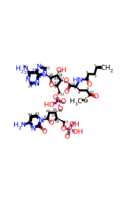 C=CCCC(=O)N[C@@H](CCC(=O)SC)C(=O)O[C@H]1[C@@H](O)[C@H](n2cnc3c(N)ncnc32)O[C@@H]1COP(=O)(O)O[C@H]1C[C@H](n2ccc(N)nc2=O)O[C@@H]1COP(=O)(O)O